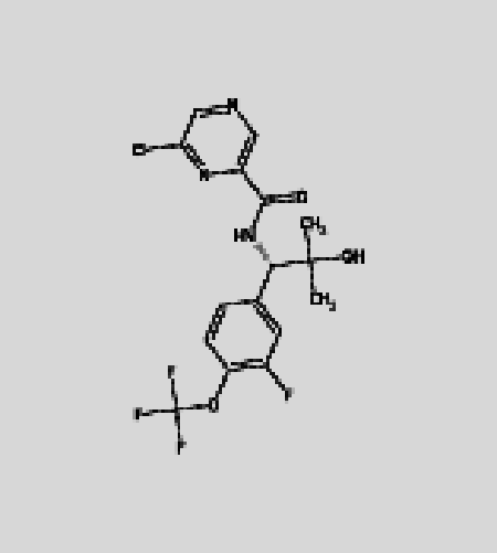 CC(C)(O)[C@@H](NC(=O)c1cncc(Cl)n1)c1ccc(OC(F)(F)F)c(F)c1